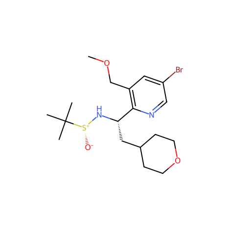 COCc1cc(Br)cnc1[C@H](CC1CCOCC1)N[S@+]([O-])C(C)(C)C